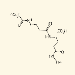 CCCNC(=O)CC[C@H](NC(=O)CCCNC(=O)C(=O)O)C(=O)O